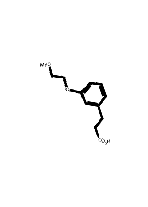 COCCOc1cccc(CCC(=O)O)c1